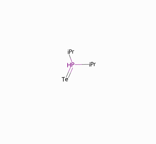 CC(C)[PH](=[Te])C(C)C